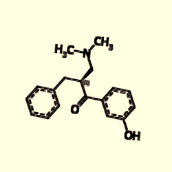 CN(C)C[C@H](Cc1ccccc1)C(=O)c1cccc(O)c1